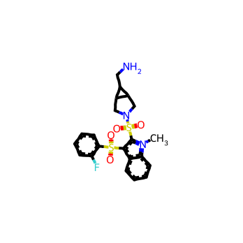 Cn1c(S(=O)(=O)N2CC3C(CN)C3C2)c(S(=O)(=O)c2ccccc2F)c2ccccc21